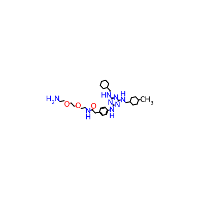 CC1CCC(CNc2nc(NCC3CCCCC3)nc(Nc3ccc(CC(=O)NCCOCCOCCN)cc3)n2)CC1